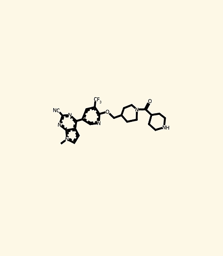 Cn1ccc2c(-c3cnc(OCC4CCN(C(=O)C5CCNCC5)CC4)c(C(F)(F)F)c3)nc(C#N)nc21